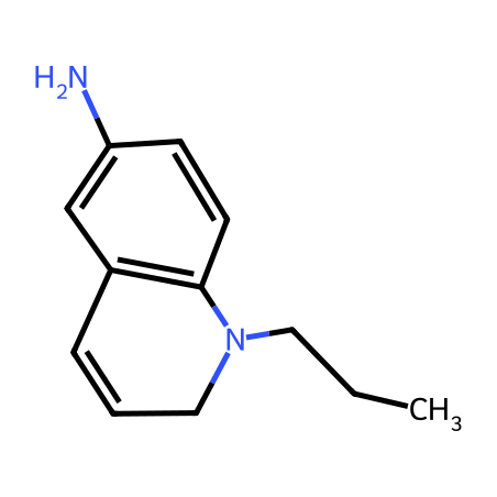 CCCN1CC=Cc2cc(N)ccc21